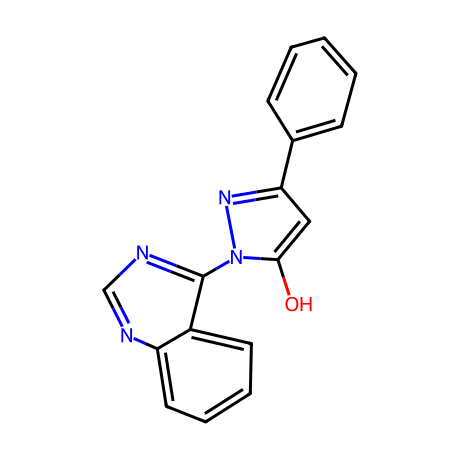 Oc1cc(-c2ccccc2)nn1-c1ncnc2ccccc12